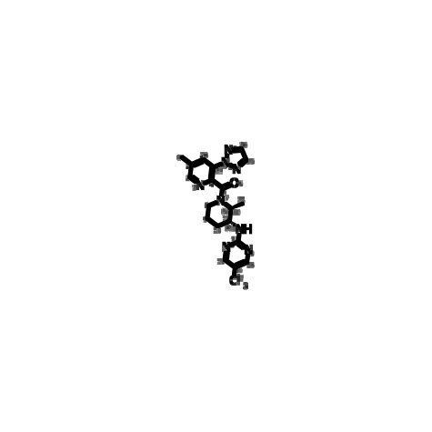 Cc1cnc(C(=O)N2CCC[C@@H](Nc3ncc(C(F)(F)F)cn3)[C@@H]2C)c(-n2nccn2)c1